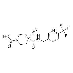 N#CC1(C(=O)NCc2ccc(C(F)(F)F)nc2)CCN(C(=O)O)CC1